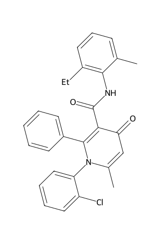 CCc1cccc(C)c1NC(=O)c1c(-c2ccccc2)n(-c2ccccc2Cl)c(C)cc1=O